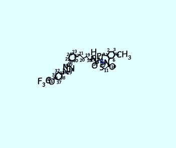 CCCc1ccc(C)cc1N1C(=O)CS/C1=N\C(=O)NCCCCc1cccc(-c2ncn(-c3ccc(OC(F)(F)F)cc3)n2)c1